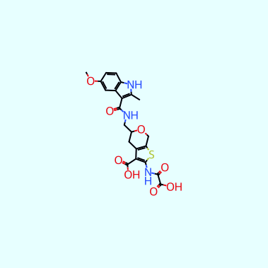 COc1ccc2[nH]c(C)c(C(=O)NCC3Cc4c(sc(NC(=O)C(=O)O)c4C(=O)O)CO3)c2c1